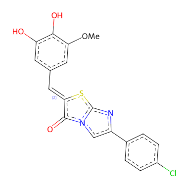 COc1cc(/C=c2\sc3nc(-c4ccc(Cl)cc4)cn3c2=O)cc(O)c1O